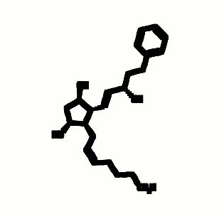 O=C(O)CCC/C=C\C[C@@H]1[C@@H](/C=C/[C@@H](O)CCc2ccccc2)[C@H](O)C[C@@H]1O